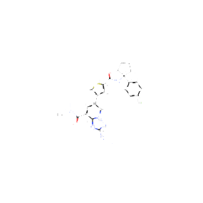 CC[C@H](C)NC(=O)c1cc(-c2csc(C(=O)NC3(c4ccc(F)cc4)CCCC3)c2)cn2nc(N)nc12